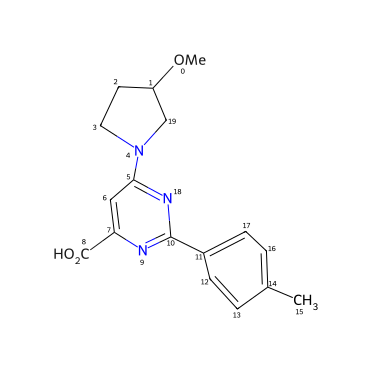 COC1CCN(c2cc(C(=O)O)nc(-c3ccc(C)cc3)n2)C1